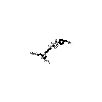 COCCc1nc(N)cn1CCCCNC(=O)NS(=O)(=O)c1ccc(CN)cc1